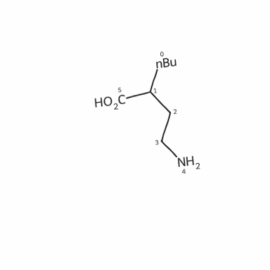 CCCCC(CCN)C(=O)O